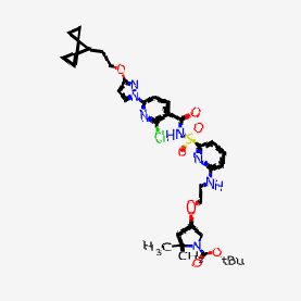 CC(C)(C)OC(=O)N1CC(OCCNc2cccc(S(=O)(=O)NC(=O)c3ccc(-n4ccc(OCCC5C6(CC6)C56CC6)n4)nc3Cl)n2)CC1(C)C